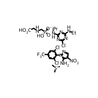 CCNc1nc(Cl)nc(NC(C)C)n1.C[S+](C)C.Nc1c([N+](=O)[O-])cnn1-c1c(Cl)cc(C(F)(F)F)cc1Cl.O=C(O)CNCP(=O)([O-])O